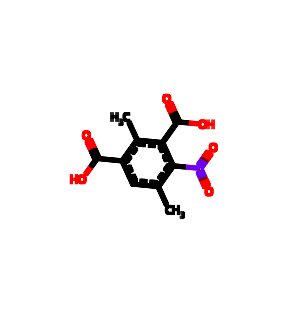 Cc1cc(C(=O)O)c(C)c(C(=O)O)c1I(=O)=O